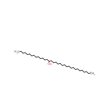 CCCCCCCCCCCCCCCCC[CH]CC(O)CCCCCCCCCCCCCC